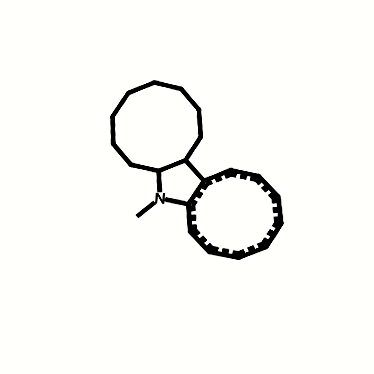 CN1c2ccccccccc2C2CCCCCCCCC21